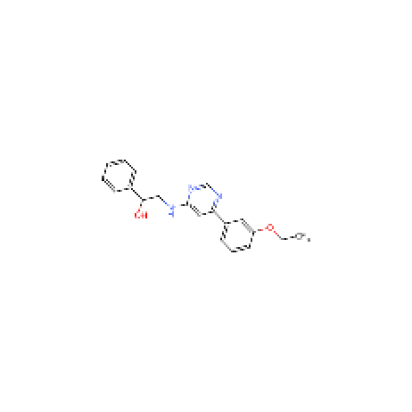 OC(CNc1cc(-c2cccc(OCC(F)(F)F)c2)ncn1)c1ccccc1